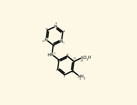 Nc1ccc(Nc2ncncn2)cc1S(=O)(=O)O